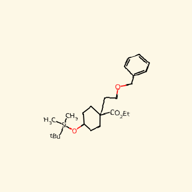 CCOC(=O)C1(CCOCc2ccccc2)CCC(O[Si](C)(C)C(C)(C)C)CC1